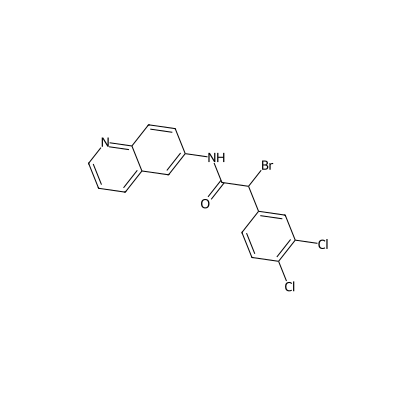 O=C(Nc1ccc2ncccc2c1)C(Br)c1ccc(Cl)c(Cl)c1